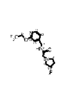 O=C(CN1CC[C@H](F)C1)NCc1ccnc(OCC(F)(F)F)c1